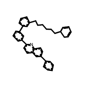 C1=CCC(CCCCCCc2cccc(-c3cccc(-c4ccc5cc(-c6ccccc6)ccc5n4)c3)c2)C=C1